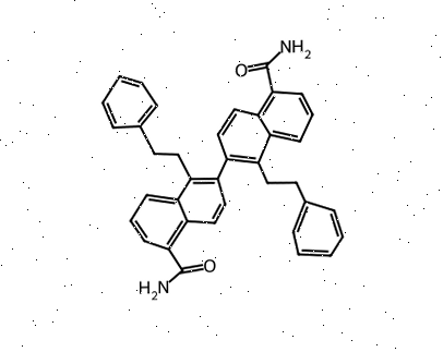 NC(=O)c1cccc2c(CCc3ccccc3)c(-c3ccc4c(C(N)=O)cccc4c3CCc3ccccc3)ccc12